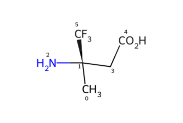 C[C@](N)(CC(=O)O)C(F)(F)F